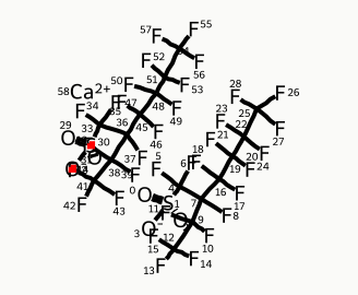 O=S(=O)([O-])C(F)(F)C(F)(C(F)(F)C(F)(F)F)C(F)(F)C(F)(F)C(F)(F)C(F)(F)F.O=S(=O)([O-])C(F)(F)C(F)(C(F)(F)C(F)(F)F)C(F)(F)C(F)(F)C(F)(F)C(F)(F)F.[Ca+2]